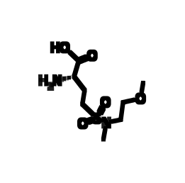 COCCN(C)S(=O)(=O)CC[C@H](N)C(=O)O